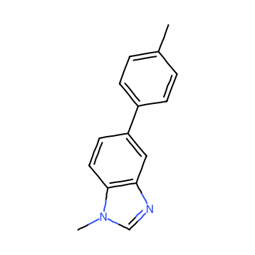 Cc1ccc(-c2ccc3c(c2)ncn3C)cc1